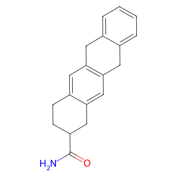 NC(=O)C1CCc2cc3c(cc2C1)Cc1ccccc1C3